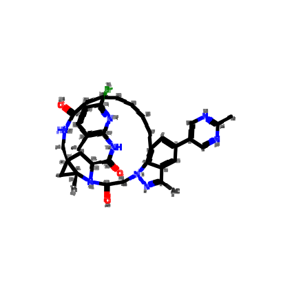 CC(=O)c1nn2c3c(cc(-c4cnc(C)nc4)cc13)CCCCCCC(=O)NC[C@@]13C[C@@H](C(=O)Nc4nc(Br)ccc4C)N(C(=O)C2)[C@@H]1C3